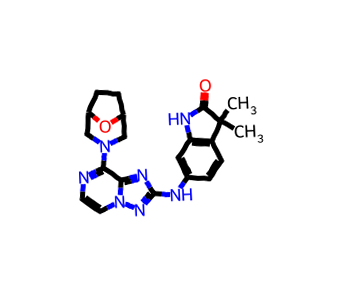 CC1(C)C(=O)Nc2cc(Nc3nc4c(N5CC6CCC(C5)O6)nccn4n3)ccc21